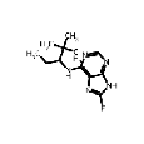 CCC(Nc1ncnc2[nH]c(F)nc12)C(C)(C)C